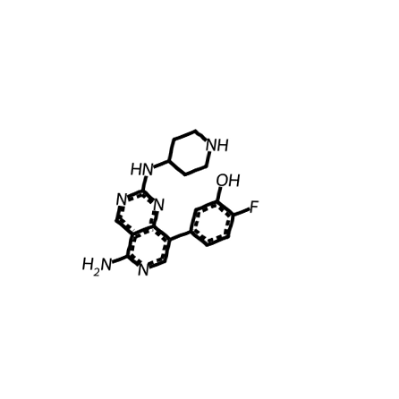 Nc1ncc(-c2ccc(F)c(O)c2)c2nc(NC3CCNCC3)ncc12